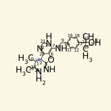 C/C(=C1/C(=N)OC2=C(NCc3ccc(C(C)(C)O)cc3)NCN=C21)C(C)N